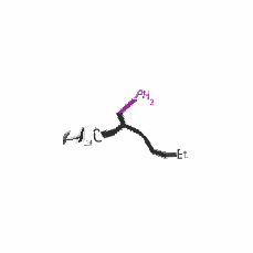 CCCC(C)P